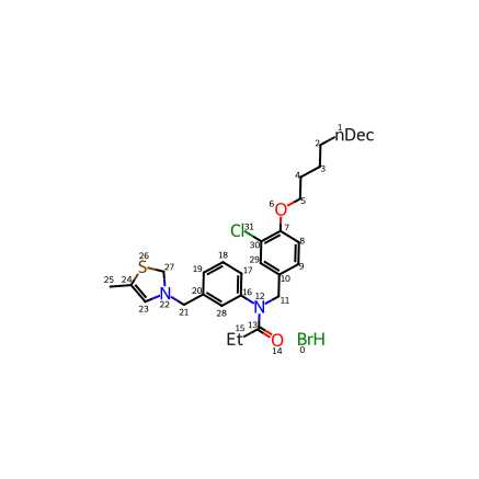 Br.CCCCCCCCCCCCCCOc1ccc(CN(C(=O)CC)c2cccc(CN3C=C(C)SC3)c2)cc1Cl